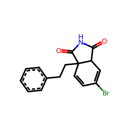 O=C1NC(=O)C2(CCc3ccccc3)C=CC(Br)=CC12